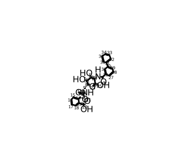 O=C(N[C@H]1[C@@H](O)[C@H](O)[C@@H](CNS(=O)(=O)c2ccccc2C(=O)O)O[C@@H]1O)c1cccc(-c2ccccc2)c1